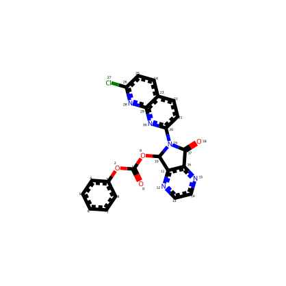 O=C(Oc1ccccc1)OC1c2nccnc2C(=O)N1c1ccc2ccc(Cl)nc2n1